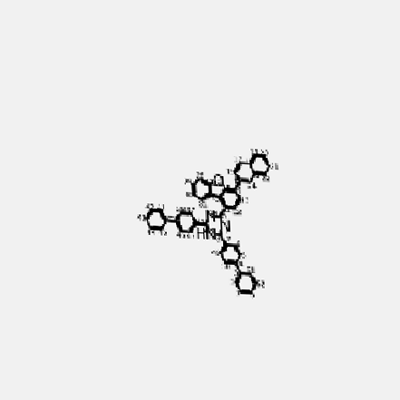 c1ccc(-c2ccc(C3=NC(c4ccc(-c5ccc6ccccc6c5)c5oc6ccccc6c45)=NC(c4ccc(-c5ccccc5)cc4)N3)cc2)cc1